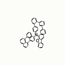 c1ccc(-c2cccc(-c3ccccc3-c3ccc(N(c4ccc(-c5cccc6cccc(-c7ccccc7)c56)cc4)c4cccc5c4oc4ccccc45)cc3)c2)cc1